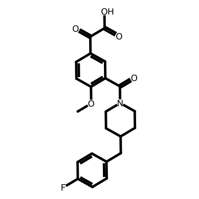 COc1ccc(C(=O)C(=O)O)cc1C(=O)N1CCC(Cc2ccc(F)cc2)CC1